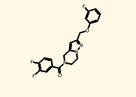 O=C(c1ccc(F)c(F)c1)N1CCn2nc(COc3cccc(F)c3)cc2C1